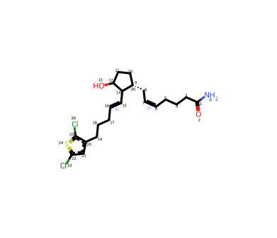 NC(=O)CCC/C=C\C[C@H]1CCC(O)C1/C=C/CCCc1cc(Cl)sc1Cl